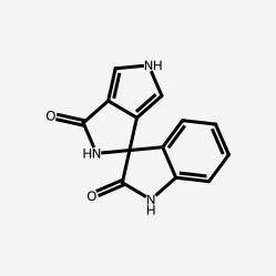 O=C1NC2(C(=O)Nc3ccccc32)c2c[nH]cc21